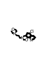 Clc1cc2c(c3ncccc13)OCN(CCCN1CCOCC1)C2